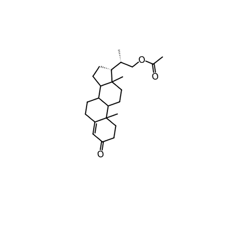 CC(=O)OC[C@@H](C)[C@H]1CCC2C3CCC4=CC(=O)CCC4(C)C3CCC21C